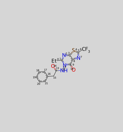 CCc1nc2sc(C(F)(F)F)nc2c(=O)n1NC(=O)Cc1ccccc1